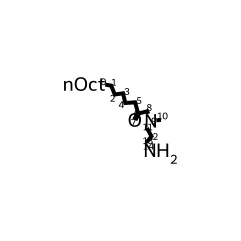 CCCCCCCCCCCCCC(=O)CN(C)CCCN